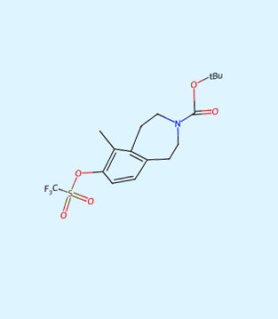 Cc1c(OS(=O)(=O)C(F)(F)F)ccc2c1CCN(C(=O)OC(C)(C)C)CC2